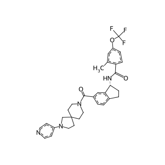 Cc1cc(OC(F)(F)F)ccc1C(=O)N[C@@H]1CCc2ccc(C(=O)N3CCC4(CC3)CCN(c3ccncc3)C4)cc21